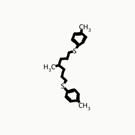 Cc1ccc(SCCCC(C)CCCSc2ccc(C)cc2)cc1